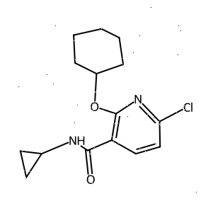 O=C(NC1CC1)c1ccc(Cl)nc1OC1CCCCC1